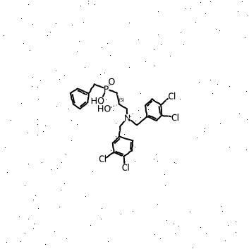 O=P(O)(Cc1ccccc1)C[C@@H](O)CN(Cc1ccc(Cl)c(Cl)c1)Cc1ccc(Cl)c(Cl)c1